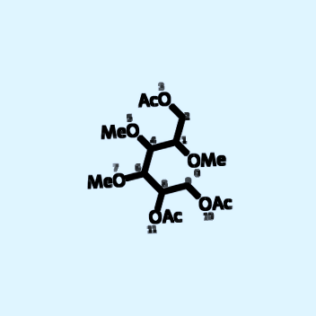 COC(COC(C)=O)C(OC)C(OC)C(COC(C)=O)OC(C)=O